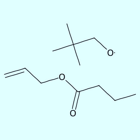 C=CCOC(=O)CCC.CC(C)(C)C[O]